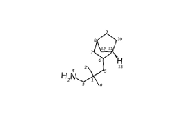 CC(C)(CN)CC1CC2CC[C@H]1C2